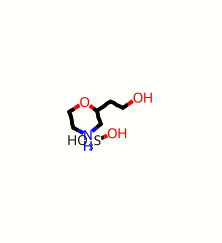 O=S(=O)(O)O.OCCC1CNCCO1